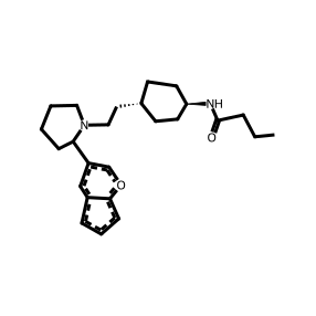 CCCC(=O)N[C@H]1CC[C@H](CCN2CCCCC2c2coc3cccc-3c2)CC1